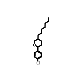 CCCCCCCC1CCC(c2ccc(Cl)cc2)OC1